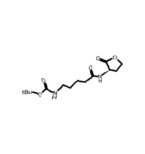 CC(C)(C)OC(=O)NCCCCC(=O)N[C@@H]1CCOC1=O